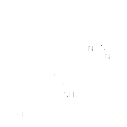 Cc1cc(C)cc(-n2nncc2CCC(=O)Nc2ccc(Cl)cc2)c1